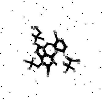 Cn1c(=O)c2c(nc(SC(C)(C)CN)n2Cc2ccccc2Cl)n(CC(F)(F)F)c1=O.O=C(O)C(F)(F)F